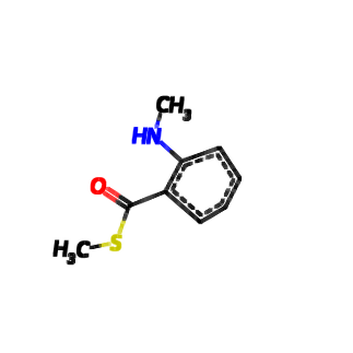 CNc1ccccc1C(=O)SC